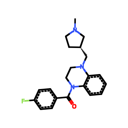 CN1CC[C@@H](CN2CCN(C(=O)c3ccc(F)cc3)c3ccccc32)C1